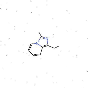 CCc1nc(C)n2ccccc12